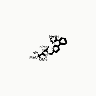 CCCCCc1nc(C(CCC)(OC)OC)nn1Cc1ccc(-c2ccccc2-c2nnn[nH]2)cn1